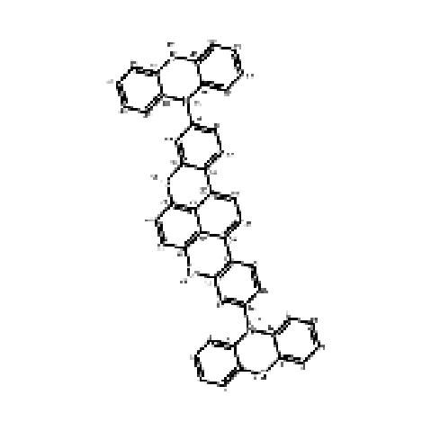 c1ccc2c(c1)Sc1ccccc1N2c1ccc2c(c1)Oc1ccc3c4c(ccc-2c14)-c1ccc(N2c4ccccc4Sc4ccccc42)cc1O3